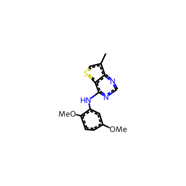 COc1ccc(OC)c(Nc2ncnc3c(C)csc23)c1